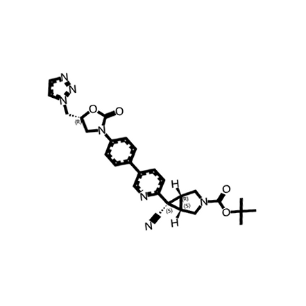 CC(C)(C)OC(=O)N1C[C@@H]2[C@H](C1)[C@@]2(C#N)c1ccc(-c2ccc(N3C[C@H](Cn4ccnn4)OC3=O)cc2)cn1